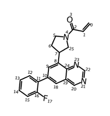 C=CC(=O)N1CCC(c2cc(-c3ccccc3F)cc3cncnc23)C1